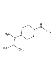 CNC1CCC(N(C)C(C)C)CC1